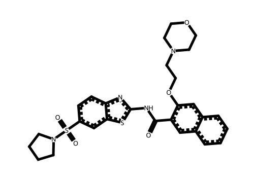 O=C(Nc1nc2ccc(S(=O)(=O)N3CCCC3)cc2s1)c1cc2ccccc2cc1OCCN1CCOCC1